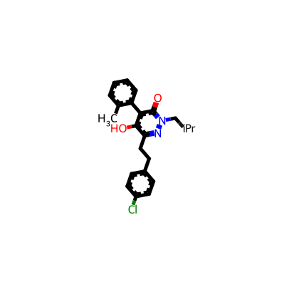 Cc1ccccc1-c1c(O)c(CCc2ccc(Cl)cc2)nn(CC(C)C)c1=O